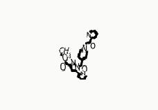 CCOC(=O)c1cc(-c2ccccn2)n(C(=O)C2=CCN(CC(=O)c3ccccn3)C=C2)n1